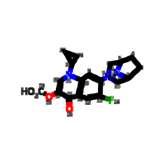 CCN1C2CCC1CN(c1cc3c(cc1F)c(=O)c(OC(=O)O)cn3C1CC1)C2